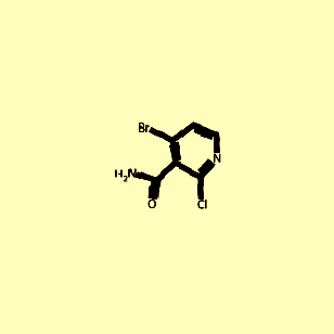 NC(=O)c1c(Br)ccnc1Cl